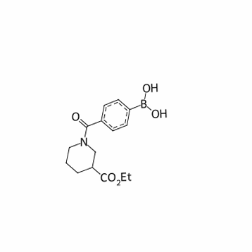 CCOC(=O)C1CCCN(C(=O)c2ccc(B(O)O)cc2)C1